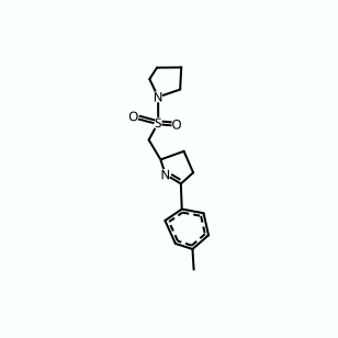 Cc1ccc(C2=NC(CS(=O)(=O)N3CCCC3)CC2)cc1